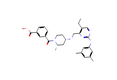 CCc1cnc(Nc2cc(C)cc(C)c2)nc1CN[C@@H]1CCN(C(=O)c2cccc(C(=O)OC)c2)[C@H](C)C1